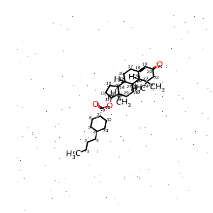 CCCC[C@H]1CC[C@H](C(=O)O[C@H]2CC[C@H]3[C@@H]4CCC5=CC(=O)CC(C)(C)[C@@H]5[C@H]4CC[C@]23C)CC1